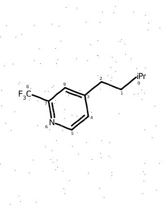 CC(C)CCc1ccnc(C(F)(F)F)c1